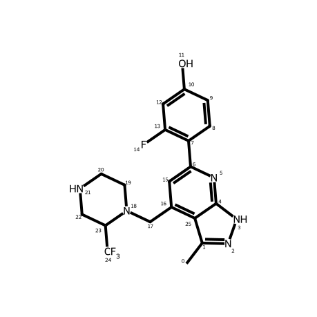 Cc1n[nH]c2nc(-c3ccc(O)cc3F)cc(CN3CCNCC3C(F)(F)F)c12